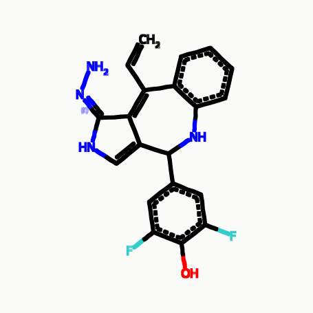 C=CC1=C2C(=CN/C2=N/N)C(c2cc(F)c(O)c(F)c2)Nc2ccccc21